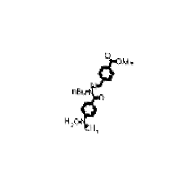 CCCCN(/N=C/c1ccc(C(=O)OC)cc1)C(=O)c1ccc(N(C)C)cc1